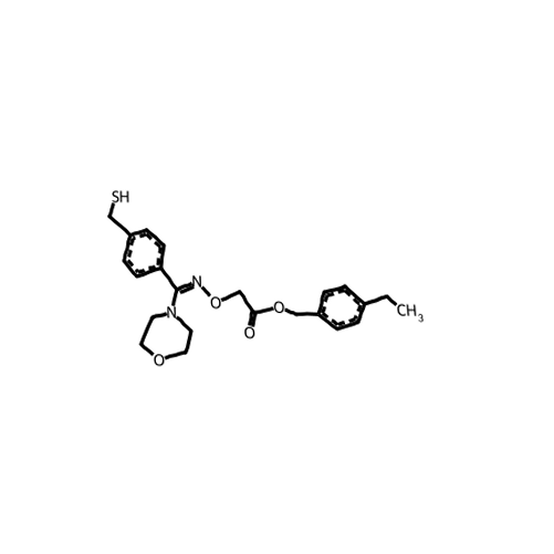 CCc1ccc(COC(=O)CO/N=C(/c2ccc(CS)cc2)N2CCOCC2)cc1